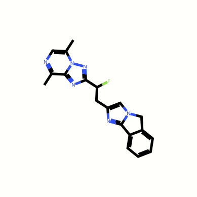 Cc1ncc(C)n2nc(C(F)Cc3cn4c(n3)-c3ccccc3C4)nc12